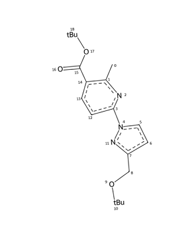 Cc1nc(-n2ccc(COC(C)(C)C)n2)ccc1C(=O)OC(C)(C)C